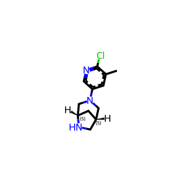 Cc1cc(N2C[C@@H]3CN[C@@H](C3)C2)cnc1Cl